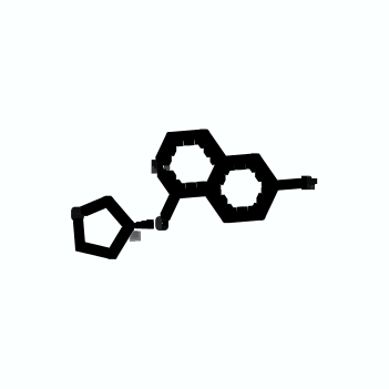 Brc1ccc2c(O[C@@H]3CCOC3)nccc2c1